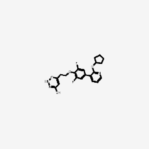 OC1=NNOC(CCOc2c(F)cc(-c3cccnc3OC3CCCC3)cc2F)=C1